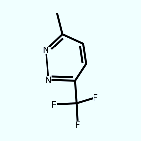 Cc1ccc(C(F)(F)F)nn1